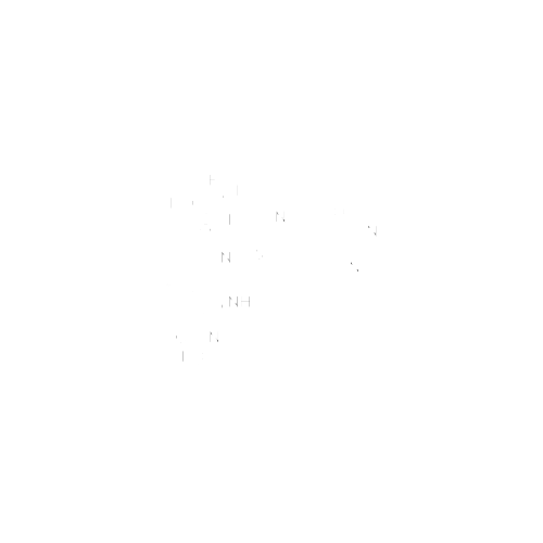 CN(c1cccc2cc(-c3ncc(CN4CCC(Oc5cnccn5)CC4)s3)[nH]c12)S(=O)(=O)c1cccs1.O=C(O)C(F)(F)F